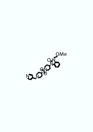 COCCn1c(=O)n(C2CCN(S(=O)(=O)C3CCN(Cc4ccncc4)CC3)CC2)c2ccccc21